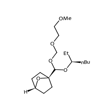 CCCC[C@H](CC)OC(OCOCCOC)[C@]12CC[C@H](CC1)O2